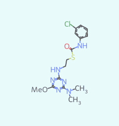 COc1nc(NCCSC(=O)Nc2cccc(Cl)c2)nc(N(C)C)n1